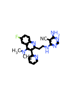 CN(C)c1c(-c2ccccn2)c(CCNc2ncnc(N)c2C#N)nc2ccc(F)cc12